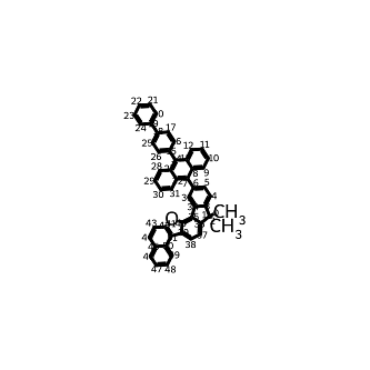 CC1(C)c2ccc(-c3c4ccccc4c(-c4ccc(-c5ccccc5)cc4)c4ccccc34)cc2-c2c1ccc1c2oc2ccc3ccccc3c21